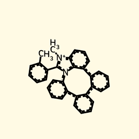 Cc1ccccc1-c1n2c3ccccc3c3ccccc3c3ccccc3c3cccc(c32)[n+]1C